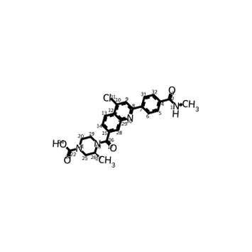 CNC(=O)c1ccc(-c2cc(Cl)c3ccc(C(=O)N4CCN(C(=O)O)C[C@@H]4C)cc3n2)cc1